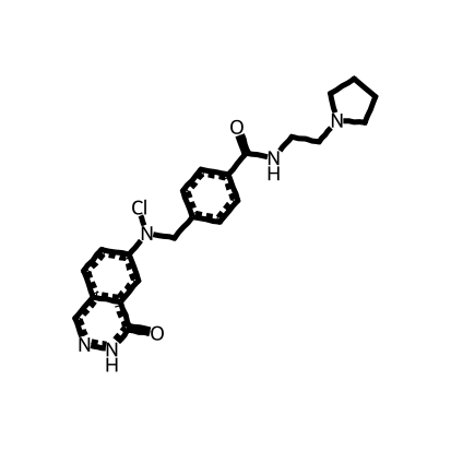 O=C(NCCN1CCCC1)c1ccc(CN(Cl)c2ccc3cn[nH]c(=O)c3c2)cc1